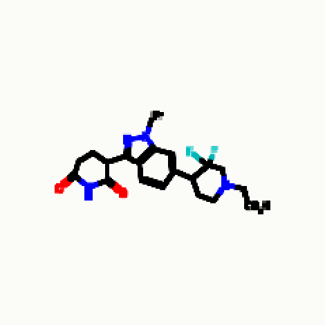 CC(C)n1nc(C2CCC(=O)NC2=O)c2ccc(C3CCN(CC(=O)O)CC3(F)F)cc21